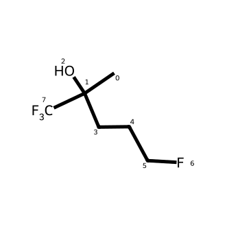 CC(O)(CCCF)C(F)(F)F